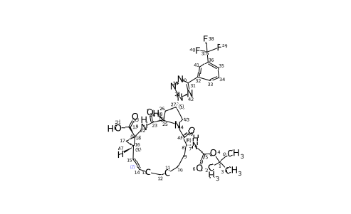 CC(C)(C)OC(=O)N[C@@H]1CCCCC/C=C\[C@@H]2C[C@]2(C(=O)O)NC(=O)[C@@H]2C[C@H](n3nnc(-c4cccc(C(F)(F)F)c4)n3)CN2C1=O